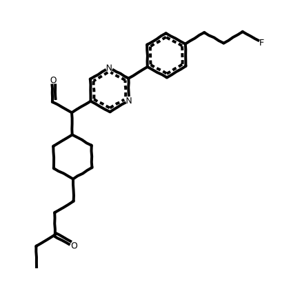 CCC(=O)CCC1CCC(C(C=O)c2cnc(-c3ccc(CCCF)cc3)nc2)CC1